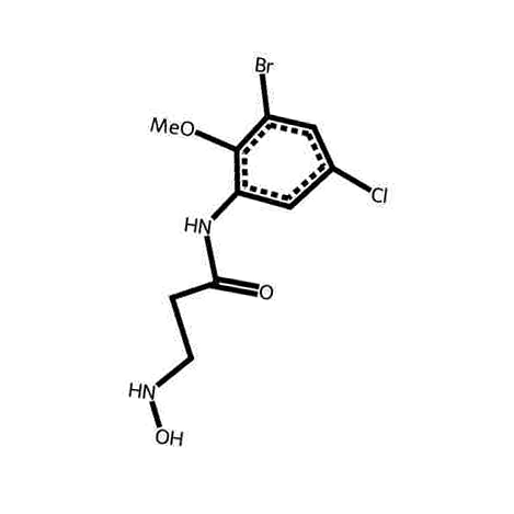 COc1c(Br)cc(Cl)cc1NC(=O)CCNO